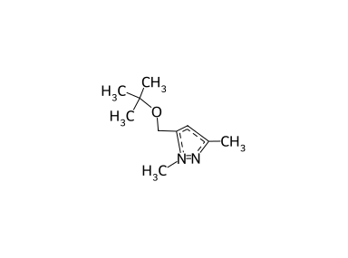 Cc1cc(COC(C)(C)C)n(C)n1